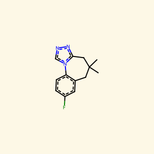 CC1(C)Cc2cc(F)ccc2-n2cnnc2C1